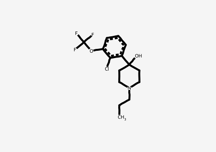 CCCN1CCC(O)(c2cccc(OC(F)(F)F)c2Cl)CC1